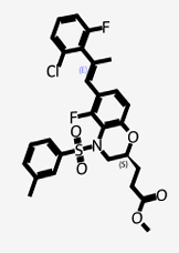 COC(=O)CC[C@H]1CN(S(=O)(=O)c2cccc(C)c2)c2c(ccc(/C=C(\C)c3c(F)cccc3Cl)c2F)O1